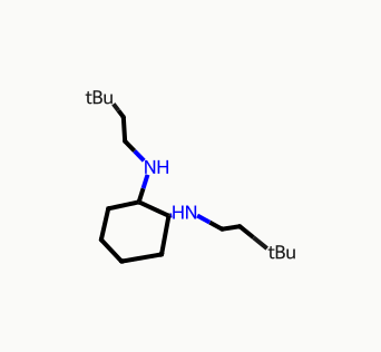 CC(C)(C)CCNC1CCCCC1NCCC(C)(C)C